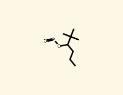 CCCC(OP=O)C(C)(C)C